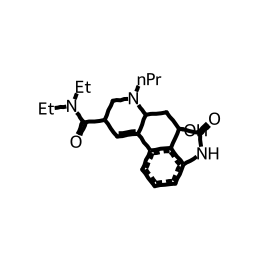 CCCN1CC(C(=O)N(CC)CC)C=C2c3cccc4c3C(O)(CC21)C(=O)N4